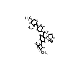 Cc1cnc(N2CCN(C(=O)c3ccc(N4C[C@H](C)OC4=O)cc3N3CCCS3(=O)=O)CC2)c(C)c1